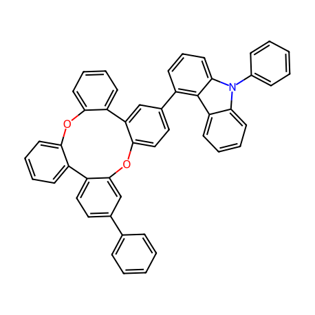 c1ccc(-c2ccc3c(c2)Oc2ccc(-c4cccc5c4c4ccccc4n5-c4ccccc4)cc2-c2ccccc2Oc2ccccc2-3)cc1